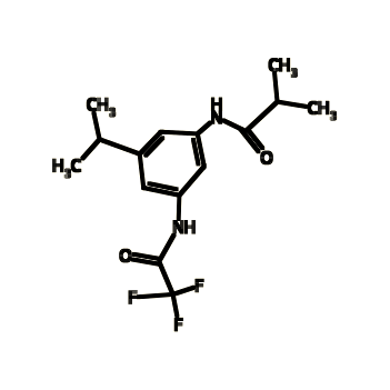 CC(C)C(=O)Nc1cc(NC(=O)C(F)(F)F)cc(C(C)C)c1